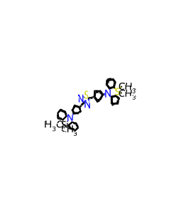 C[Si]1(C)c2ccccc2N(c2ccc(-c3nsc(-c4ccc(N5c6ccccc6S(C)(C)c6ccccc65)cc4)n3)cc2)c2ccccc21